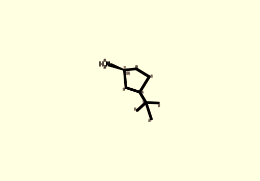 CC(C)(C)C1CC[C@H](N)C1